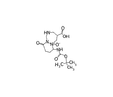 CC(C)(C)OC(=O)NC1CCC(=O)N2CNCC(C(=O)O)C[N+]12[O-]